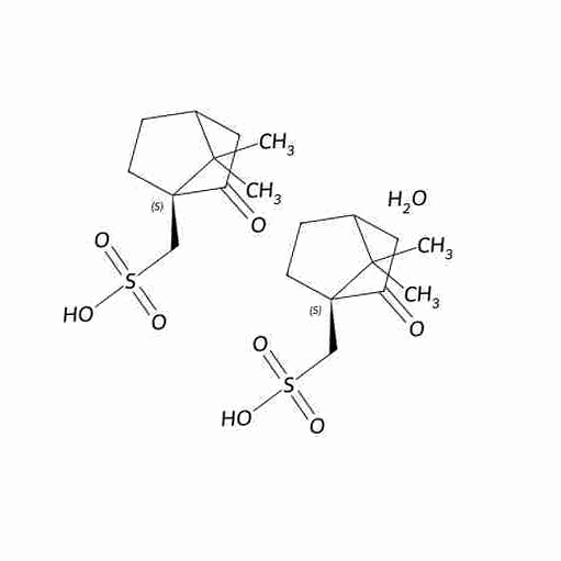 CC1(C)C2CC[C@@]1(CS(=O)(=O)O)C(=O)C2.CC1(C)C2CC[C@@]1(CS(=O)(=O)O)C(=O)C2.O